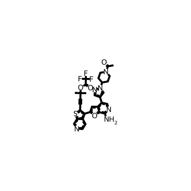 CC(=O)N1CCC(n2cc(-c3cnc(N)c4oc(-c5c(C#CC(C)(C)OC(=O)C(F)(F)F)sc6cnccc56)cc34)cn2)CC1